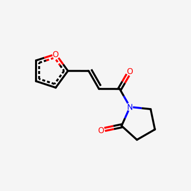 O=C(/C=C/c1ccco1)N1CCCC1=O